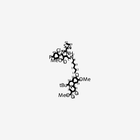 COC(=O)C1=C(CN(C)CCCCCCOc2cc3c(cc2OC)-c2cc(=O)c(C(=O)OC)cn2C(C(C)(C)C)C3)NC(c2nccs2)=N[C@H]1c1ccc(F)cc1Cl